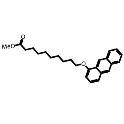 COC(=O)CCCCCCCCCOc1cccc2cc3ccccc3cc12